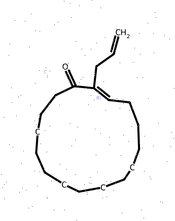 C=CC/C1=C\CCCCCCCCCCCCCC1=O